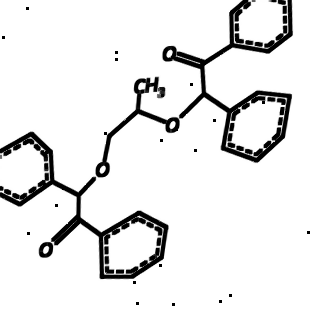 CC(COC(C(=O)c1ccccc1)c1ccccc1)OC(C(=O)c1ccccc1)c1ccccc1